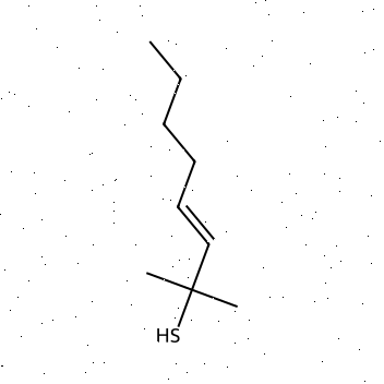 CCCCC=CC(C)(C)S